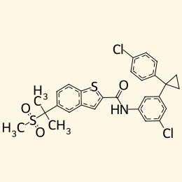 CC(C)(c1ccc2sc(C(=O)Nc3cc(Cl)cc(C4(c5ccc(Cl)cc5)CC4)c3)cc2c1)S(C)(=O)=O